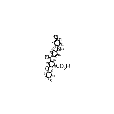 Cc1ccc(Oc2cc(C(=O)O)cc(C(=O)c3ccc(N(C)c4ccc(Cl)cc4)cn3)c2)cc1